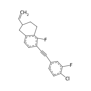 C=CC1CCc2c(ccc(C#Cc3ccc(Cl)c(F)c3)c2F)C1